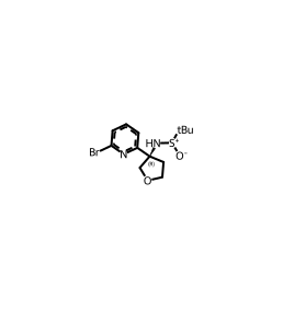 CC(C)(C)[S+]([O-])N[C@@]1(c2cccc(Br)n2)CCOC1